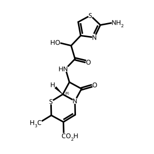 CC1S[C@@H]2C(NC(=O)C(O)c3csc(N)n3)C(=O)N2C=C1C(=O)O